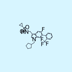 O=S(=O)(NCc1cn(CC2CCCC2)c2cc(-c3ccccc3C(F)(F)F)c(F)cc12)C1CC1